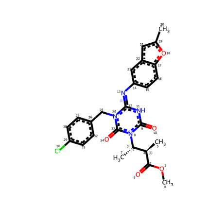 COC(=O)[C@H](C)[C@H](C)n1c(=O)[nH]/c(=N\c2ccc3oc(C)cc3c2)n(Cc2ccc(Cl)cc2)c1=O